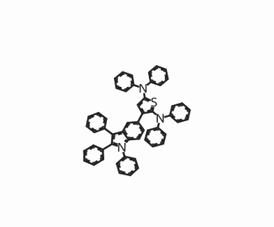 c1ccc(-c2c(-c3ccccc3)n(-c3ccccc3)c3ccc(-c4cc(N(c5ccccc5)c5ccccc5)sc4N(c4ccccc4)c4ccccc4)cc23)cc1